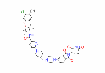 CC1(C)[C@H](NC(=O)c2ccc(N3CCC(CN4CCN(c5ccc6c(c5)C(=O)N(C5CCC(=O)NC5=O)C6=O)CC4)CC3)nc2)C(C)(C)[C@H]1Oc1ccc(C#N)c(Cl)c1